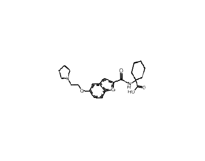 O=C(NC1(C(=O)O)CCCCC1)c1cc2cc(OCCN3CCCC3)ccc2o1